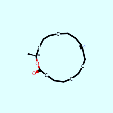 C[C@H]1CCCCCC/C=C\CCCCCCCC(=O)O1